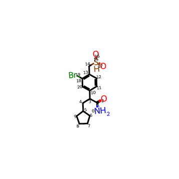 NC(=O)C(CC1CCCC1)c1ccc(C[SH](=O)=O)c(Br)c1